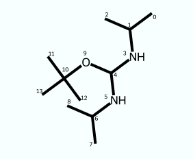 CC(C)NC(NC(C)C)OC(C)(C)C